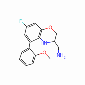 COc1ccccc1-c1cc(F)cc2c1NC(CN)CO2